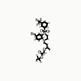 CC(CCN1CCN(S(=O)(=O)c2cccc(C(F)(F)F)c2)c2cc(Br)ccc21)OCC(=O)OC(C)(C)C